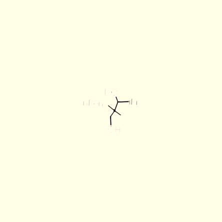 CCCCCC(C)(CO)C(O)C(C)C